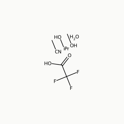 CC#N.CC(C)O.CO.O.O=C(O)C(F)(F)F